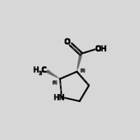 C[C@H]1NCC[C@H]1C(=O)O